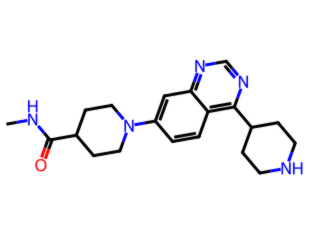 CNC(=O)C1CCN(c2ccc3c(C4CCNCC4)ncnc3c2)CC1